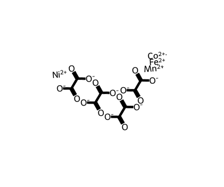 O=C([O-])C(=O)[O-].O=C([O-])C(=O)[O-].O=C([O-])C(=O)[O-].O=C([O-])C(=O)[O-].[Co+2].[Fe+2].[Mn+2].[Ni+2]